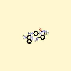 CCc1cccc(CN)c1N(C(N)=O)[C@H]1CC[C@@H](Nc2cc(N(C)C)c3ccccc3n2)CC1